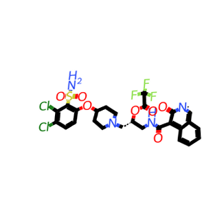 NS(=O)(=O)c1c(OC2CCN(C[C@@H](CNC(=O)C3=c4ccccc4=C[N]C3=O)OC(=O)C(F)(F)F)CC2)ccc(Cl)c1Cl